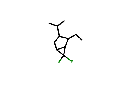 CCC1C(C(C)C)CC2C1C2(F)F